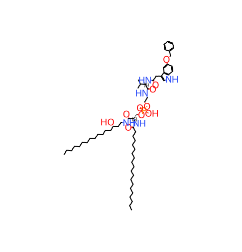 CCCCCCCCCCCCCCCCCCCC(=O)N[C@@H](COP(=O)(O)OCCNC(=O)[C@@H](NC(=O)Cc1c[nH]c2ccc(OCc3ccccc3)cc12)C(C)C)C(=O)NCCC(O)CCCCCCCCCCCCC